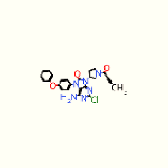 CC#CC(=O)N1CC[C@@H](n2c(=O)n(-c3ccc(Oc4ccccc4)cc3)c3c(N)nc(Cl)nc32)C1